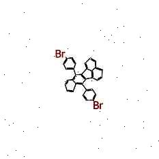 Brc1ccc(-c2c3c(c(-c4ccc(Br)cc4)c4ccccc24)-c2cccc4cccc-3c24)cc1